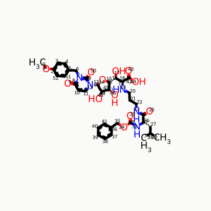 COc1ccc(Cn2c(=O)ccn([C@@H]3O[C@H](C(O)[C@H](NCCCNC(=O)[C@H](CC(C)C)NC(=O)OCc4ccccc4)C(=O)O)[C@@H](O)[C@H]3O)c2=O)cc1